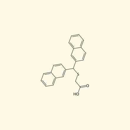 O=C(O)CSC(c1ccc2ccccc2c1)c1ccc2ccccc2c1